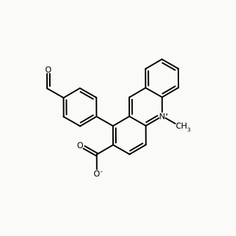 C[n+]1c2ccccc2cc2c(-c3ccc(C=O)cc3)c(C(=O)[O-])ccc21